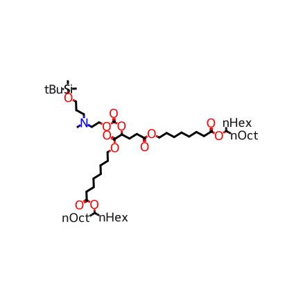 CCCCCCCCC(CCCCCC)OC(=O)CCCCCCCOC(=O)CCC(OC(=O)OCCN(C)CCCO[Si](C)(C)C(C)(C)C)C(=O)OCCCCCCCC(=O)OC(CCCCCC)CCCCCCCC